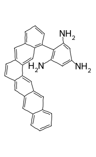 Nc1cc(N)c(-c2cccc3cc4ccc5cc6cc7ccccc7cc6cc5c4cc23)c(N)c1